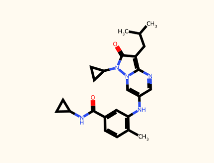 Cc1ccc(C(=O)NC2CC2)cc1Nc1cnc2c(CC(C)C)c(=O)n(C3CC3)n2c1